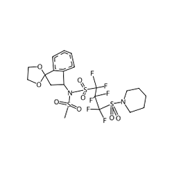 CS(=O)(=O)N(C1CC2(OCCO2)c2ccccc21)S(=O)(=O)C(F)(F)C(F)(F)C(F)(F)S(=O)(=O)N1CCCCC1